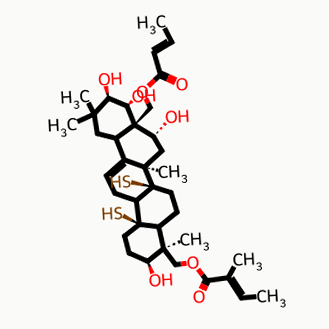 C/C=C/C(=O)OC[C@@]12C(CC(C)(C)[C@@H](O)[C@@H]1O)C1=CCC3[C@@]4(S)CC[C@H](O)[C@](C)(COC(=O)/C(C)=C/C)C4CC[C@@]3(S)[C@]1(C)C[C@H]2O